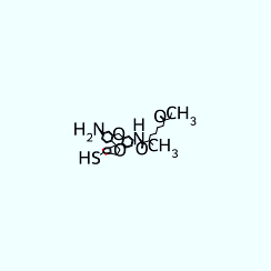 CCC(=O)CCCCC(C)C(=O)Nc1ccc2c(c1)Oc1cc(N)ccc1C21OCc2cc(S)ccc21